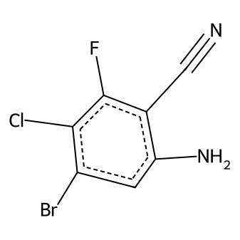 N#Cc1c(N)cc(Br)c(Cl)c1F